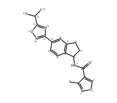 Cc1nocc1C(=O)NC1CCc2cc(-c3noc(C(F)F)n3)ccc21